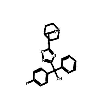 OC(c1ccccc1)(c1ccc(F)cc1)c1noc(C2CN3CCC2CC3)n1